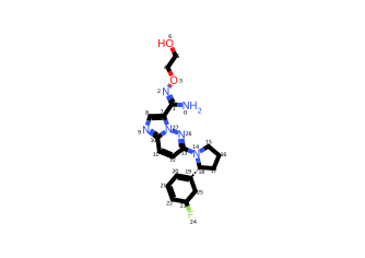 N/C(=N\OCCO)c1cnc2ccc(N3CCC[C@@H]3C3=CC=CC(F)C3)nn12